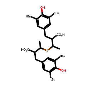 CC(SC(C)C(Cc1cc(C(C)(C)C)c(O)c(C(C)(C)C)c1)C(=O)O)C(Cc1cc(C(C)(C)C)c(O)c(C(C)(C)C)c1)C(=O)O